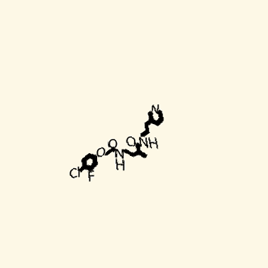 C=C(CCNC(=O)COc1ccc(Cl)c(F)c1)C(=O)NCCCc1cccnc1